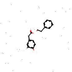 COc1cc(CC(=O)OCCc2ccccc2)ccc1O